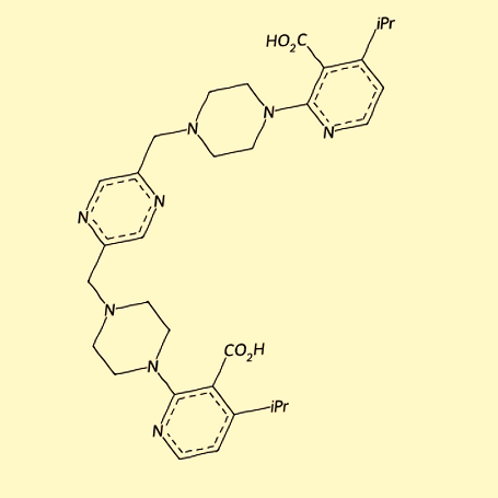 CC(C)c1ccnc(N2CCN(Cc3cnc(CN4CCN(c5nccc(C(C)C)c5C(=O)O)CC4)cn3)CC2)c1C(=O)O